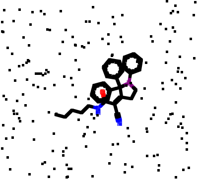 CCCCCNC(=O)C(C#N)=C1CCP(c2ccccc2)C1(c1ccccc1)c1ccccc1